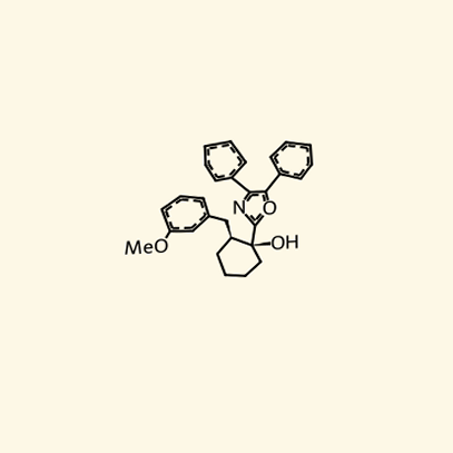 COc1cccc(C[C@@H]2CCCC[C@@]2(O)c2nc(-c3ccccc3)c(-c3ccccc3)o2)c1